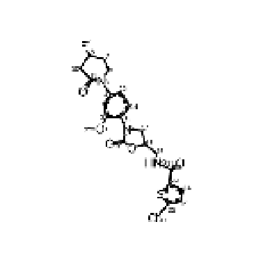 COc1cc(N2CCC(F)CC2=O)ccc1N1CC(CNC(=O)c2ccc(Cl)s2)OC1=O